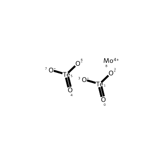 O=[Te]([O-])[O-].O=[Te]([O-])[O-].[Mo+4]